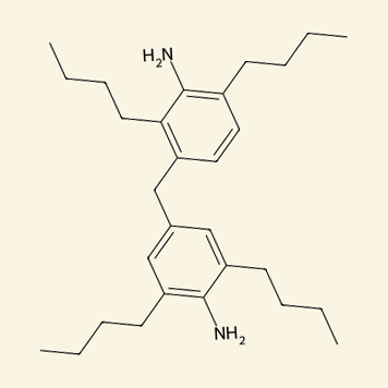 CCCCc1cc(Cc2ccc(CCCC)c(N)c2CCCC)cc(CCCC)c1N